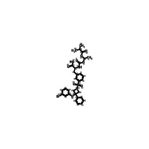 CC(OC(=O)N[C@@H](Cc1cccc(S(=O)(=O)N2CC(Oc3cccc(Br)c3)(c3ccccc3)C2)c1)C(=O)O)OC(=O)C(C)C